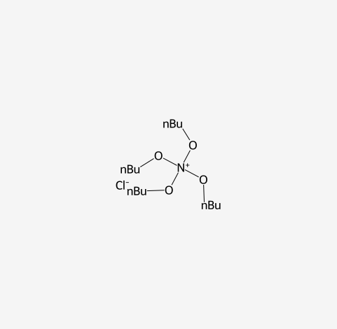 CCCCO[N+](OCCCC)(OCCCC)OCCCC.[Cl-]